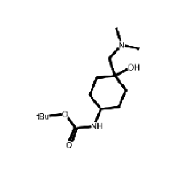 CN(C)CC1(O)CCC(NC(=O)OC(C)(C)C)CC1